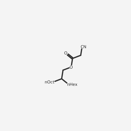 CCCCCCCCC(CCCCCC)COC(=O)CC#N